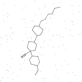 CCCCCCC1CCC(C2CCC(C#N)(C3CCC(CC)CC3)CC2)CC1